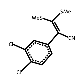 CSC(SC)=C(C#N)c1ccc(Cl)c(Cl)c1